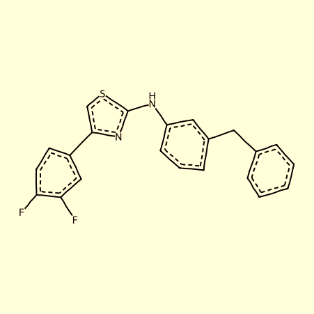 Fc1ccc(-c2csc(Nc3cccc(Cc4ccccc4)c3)n2)cc1F